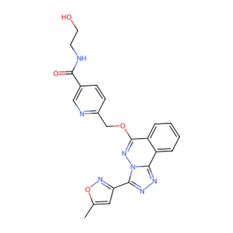 Cc1cc(-c2nnc3c4ccccc4c(OCc4ccc(C(=O)NCCO)cn4)nn23)no1